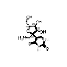 NC[C@@]1(c2c[nH]c(=O)[nH]c2=O)O[C@H](CO)[C@@H](O)[C@H]1O